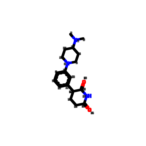 CN(C)C1CCN(c2cccc(C3CCC(=O)NC3=O)c2)CC1